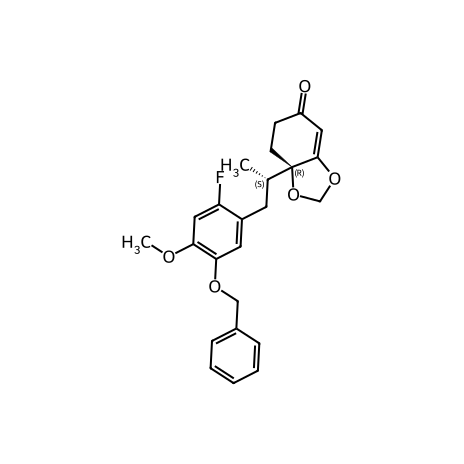 COc1cc(F)c(C[C@H](C)[C@]23CCC(=O)C=C2OCO3)cc1OCc1ccccc1